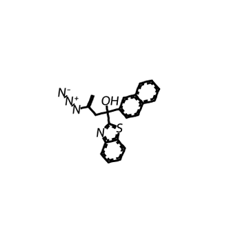 C=C(CC(O)(c1ccc2ccccc2c1)c1nc2ccccc2s1)N=[N+]=[N-]